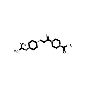 CC(C)O[C@H]1CC[C@H](CCC(=O)N2CCN(C(C)C)CC2)CC1